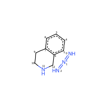 N=[N+]=N.c1ccc2c(c1)CCNC2